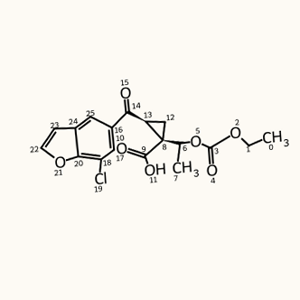 CCOC(=O)OC(C)[C@]1(C(=O)O)C[C@@H]1C(=O)c1cc(Cl)c2occc2c1